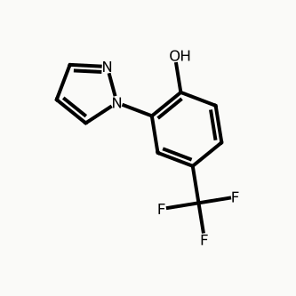 Oc1ccc(C(F)(F)F)cc1-n1cccn1